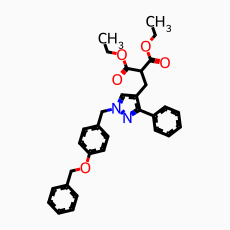 CCOC(=O)C(Cc1cn(Cc2ccc(OCc3ccccc3)cc2)nc1-c1ccccc1)C(=O)OCC